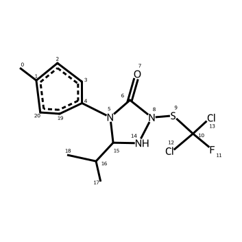 Cc1ccc(N2C(=O)N(SC(F)(Cl)Cl)NC2C(C)C)cc1